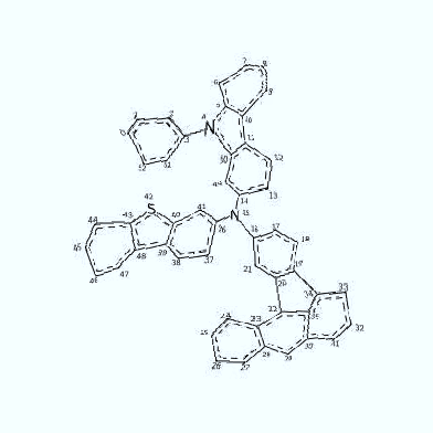 c1ccc(-n2c3ccccc3c3ccc(N(c4ccc5c(c4)-c4c6ccccc6cc6cccc-5c46)c4ccc5c(c4)sc4ccccc45)cc32)cc1